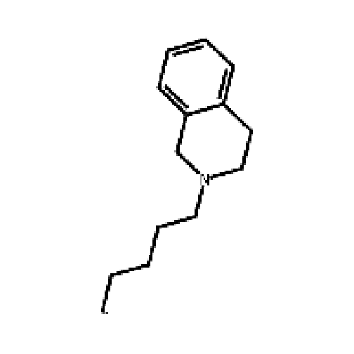 [CH2]CCCCN1CCc2ccccc2C1